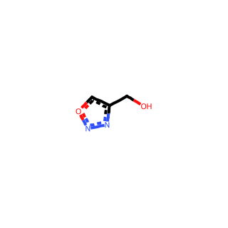 OCc1conn1